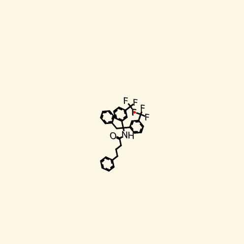 O=C(CCCc1ccccc1)NC(Cc1ccccc1)(c1cccc(C(F)(F)F)c1)c1cccc(C(F)(F)F)c1